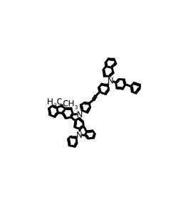 CC1(C)c2ccccc2-c2cc3c4cc5c(cc4n(-c4ccc(C#Cc6ccc(N(c7ccc(-c8ccccc8)cc7)c7ccc8ccccc8c7)cc6)cc4)c3cc21)c1ccccc1n5-c1ccccc1